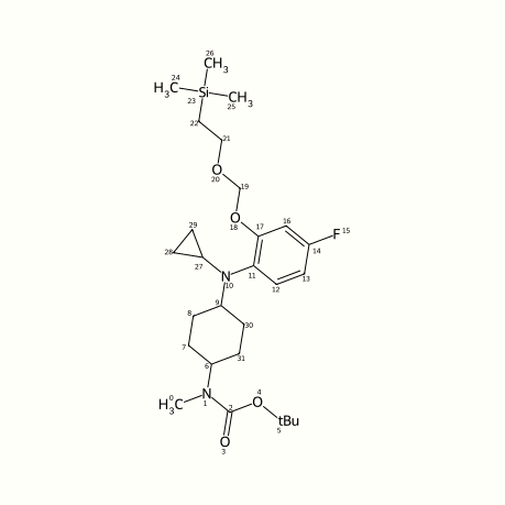 CN(C(=O)OC(C)(C)C)C1CCC(N(c2ccc(F)cc2OCOCC[Si](C)(C)C)C2CC2)CC1